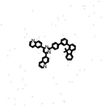 CC1(C)c2ccccc2-c2cccc(-c3cccc(-c4ccc(-c5nc(-c6ccc7ncccc7c6)cc(-c6ccc7ncccc7c6)n5)cc4)c3)c21